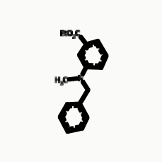 CCOC(=O)c1cccc(N(C)Cc2ccccc2)c1